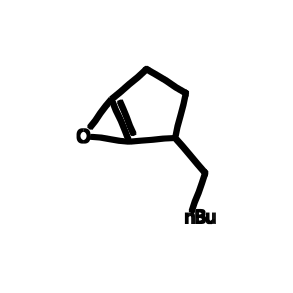 CCCCCC1CCC2=C1O2